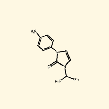 CC(C)n1cnn(-c2ccc(N)cc2)c1=O